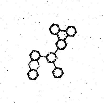 c1ccc(-c2nc(-c3ccc4c5ccccc5c5ccccc5c4c3)nc(-c3cccc4c3Sc3ccccc3S4)n2)cc1